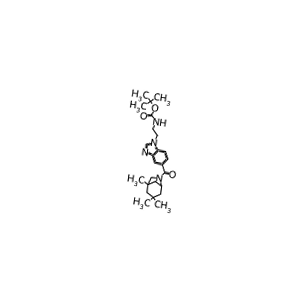 CC1(C)CC2CC(C)(CN2C(=O)c2ccc3c(c2)ncn3CCNC(=O)OC(C)(C)C)C1